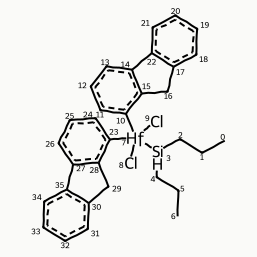 CCC[SiH](CCC)[Hf]([Cl])([Cl])([c]1cccc2c1Cc1ccccc1-2)[c]1cccc2c1Cc1ccccc1-2